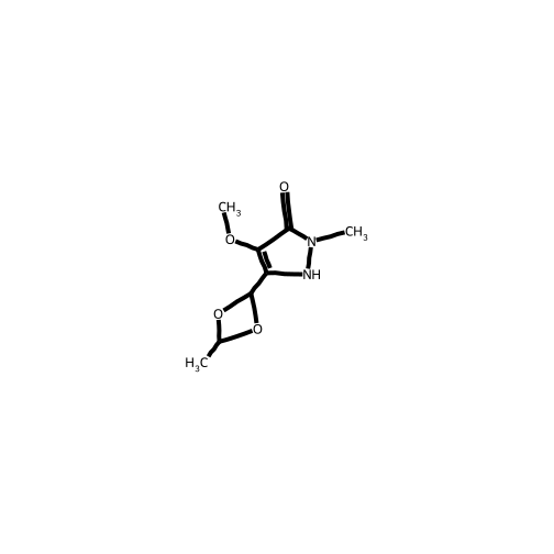 COc1c(C2OC(C)O2)[nH]n(C)c1=O